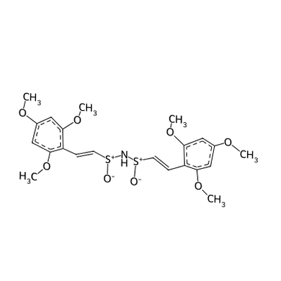 COc1cc(OC)c(C=C[S+]([O-])N[S+]([O-])C=Cc2c(OC)cc(OC)cc2OC)c(OC)c1